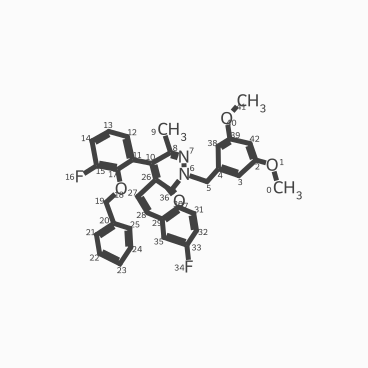 COc1cc(Cn2nc(C)c(-c3cccc(F)c3OCc3ccccc3)c(C=Cc3cccc(F)c3)c2=O)cc(OC)c1